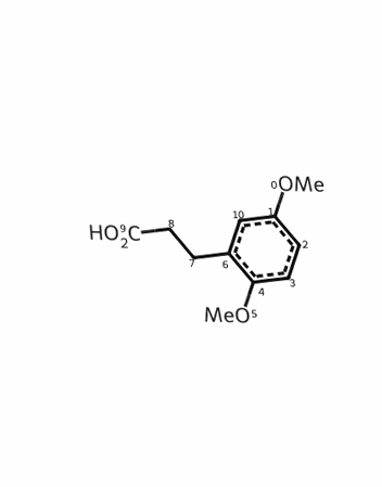 COc1ccc(OC)c(CCC(=O)O)c1